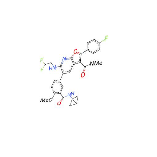 CNC(=O)c1c(-c2ccc(F)cc2)oc2nc(NCC(F)F)c(-c3ccc(OC)c(C(=O)NC45CC4C5)c3)cc12